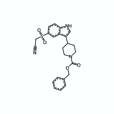 N#CCS(=O)(=O)c1ccc2[nH]cc(C3CCN(C(=O)OCc4ccccc4)CC3)c2c1